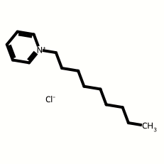 CCCCCCCCC[n+]1ccccc1.[Cl-]